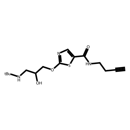 C#CCCNC(=O)c1cnc(OCC(O)CNC(C)(C)C)s1